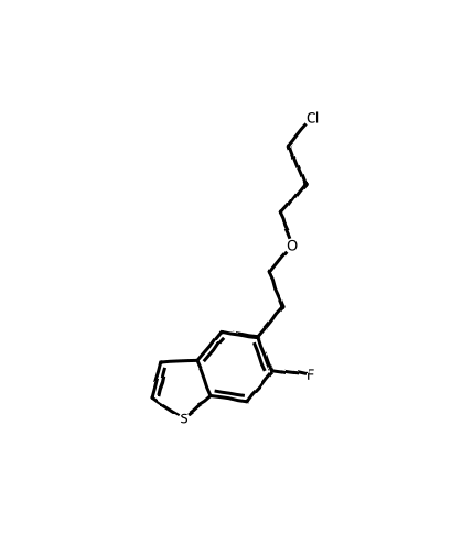 Fc1cc2sccc2cc1CCOCCCCl